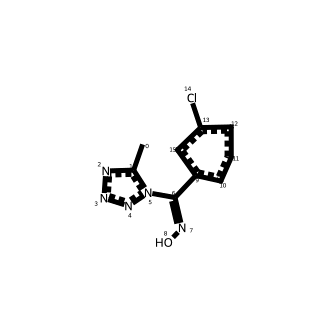 Cc1nnnn1C(=NO)c1cccc(Cl)c1